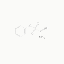 N=C(N)S(=O)(=O)Oc1ccccc1